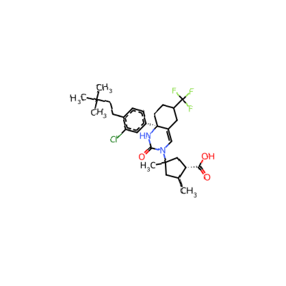 CC1CC(C)(N2C=C3CC(C(F)(F)F)CC[C@]3(c3ccc(CCC(C)(C)C)c(Cl)c3)NC2=O)C[C@@H]1C(=O)O